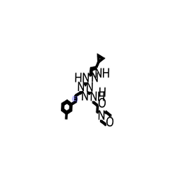 Cc1cccc(/C=C/c2nc(NCC(O)CN3CCOCC3)nc(Nc3cc(C4CC4)[nH]n3)n2)c1